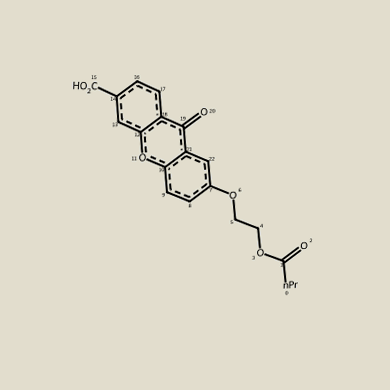 CCCC(=O)OCCOc1ccc2oc3cc(C(=O)O)ccc3c(=O)c2c1